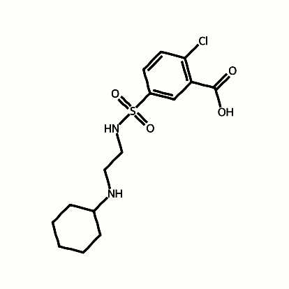 O=C(O)c1cc(S(=O)(=O)NCCNC2CCCCC2)ccc1Cl